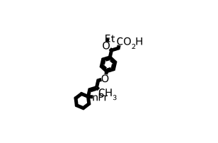 CCCC1(/C=C(\C)COc2ccc(C(CC(=O)O)OCC)cc2)CCCCC1